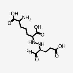 [2H]C(=O)[C@H](CCC(=O)O)NNC(CCCC(N)C(=O)O)C(=O)O